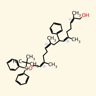 C/C(=C/CC/C(C)=C\C(C/C(C)=C\CC/C(C)=C\CO[Si](c1ccccc1)(c1ccccc1)C(C)(C)C)c1ccccc1)CO